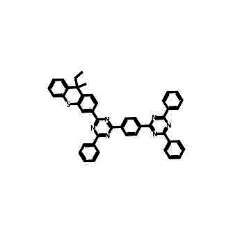 CCC1(C)c2ccccc2Sc2cc(-c3nc(-c4ccccc4)nc(-c4ccc(-c5nc(-c6ccccc6)nc(-c6ccccc6)n5)cc4)n3)ccc21